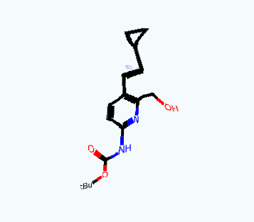 CC(C)(C)OC(=O)Nc1ccc(/C=C/C2CC2)c(CO)n1